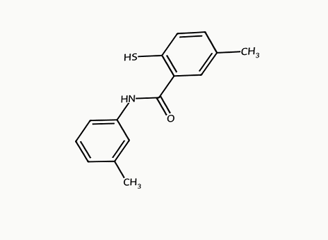 Cc1cccc(NC(=O)c2cc(C)ccc2S)c1